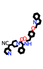 N#CC(c1cccnc1)C1CCN(C(=O)[C@@H](NC(=O)Cc2ccc(OCc3ccc4ccccc4n3)cc2)c2ccccc2)CC1